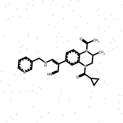 CC(=O)N1c2ccc(/C(C=N)=C/NCc3cccnc3)cc2N(C(=O)C2CC2)CC1C